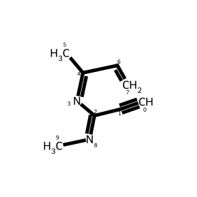 C#CC(/N=C(/C)C=C)=N/C